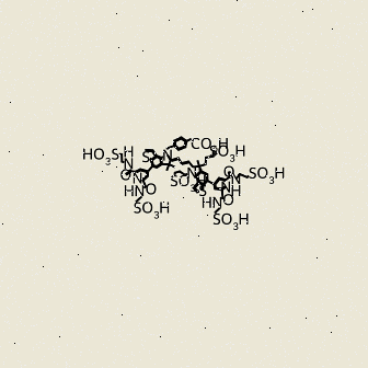 CC1(CCCS(=O)(=O)O)C(/C=C/C=C2/N(Cc3ccc(CC(=O)O)cc3)c3c(cc(-c4cc(C(=O)NCCS(=O)(=O)O)nc(C(=O)NCCS(=O)(=O)O)c4)c4sccc34)C2(C)C)=[N+](CCCS(=O)(=O)O)c2c1cc(-c1cc(C(=O)NCCS(=O)(=O)O)nc(C(=O)NCCS(=O)(=O)O)c1)c1sccc21